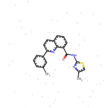 Cc1csc(NC(=O)c2cccc3ccc(-c4cccc(C(F)(F)F)c4)nc23)n1